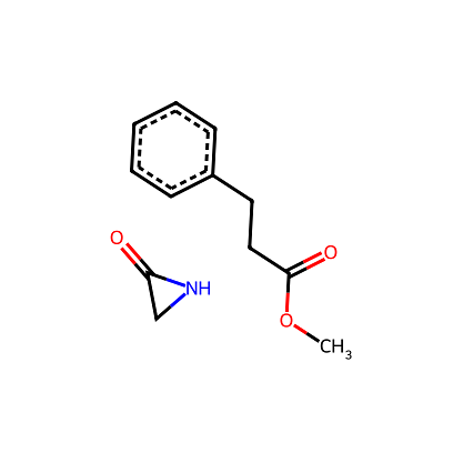 COC(=O)CCc1ccccc1.O=C1CN1